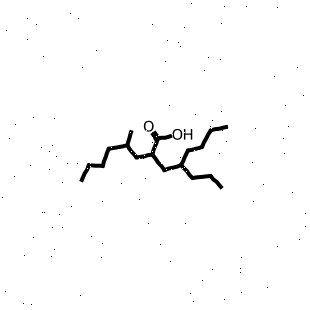 CCCCC(C)CC(CC(CCC)CCCC)C(=O)O